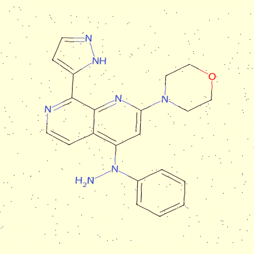 NN(c1ccccc1)c1cc(N2CCOCC2)nc2c(-c3ccn[nH]3)nccc12